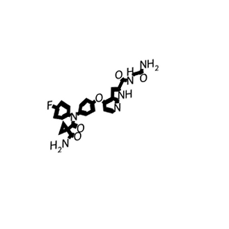 NC(=O)CNC(=O)c1cc2c(Oc3ccc(N(C(=O)C4(C(N)=O)CC4)c4ccc(F)cc4)cc3)ccnc2[nH]1